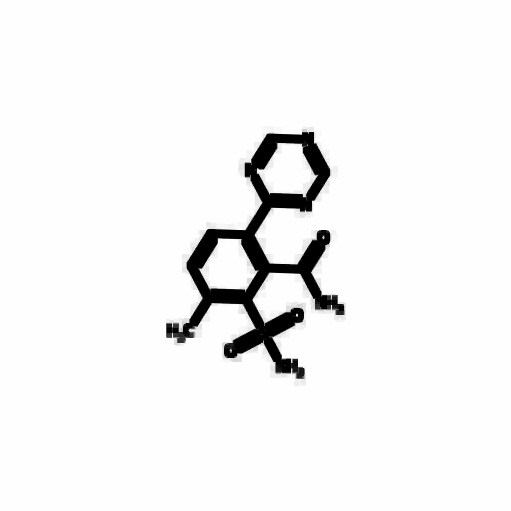 Cc1ccc(-c2ncncn2)c(C(N)=O)c1S(N)(=O)=O